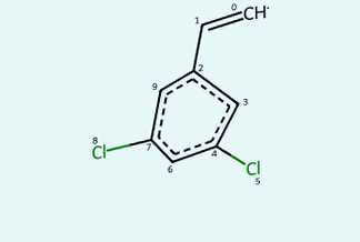 [CH]=Cc1cc(Cl)cc(Cl)c1